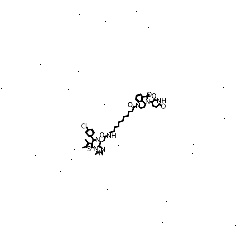 Cc1sc2c(c1C)C(c1ccc(Cl)cc1)=N[C@@H](CC(=O)NCCCCCCCCCCC(=O)N1CCC3c4c(cccc41)C(=O)N3C1CCC(=O)NC1=O)c1nnc(C)n1-2